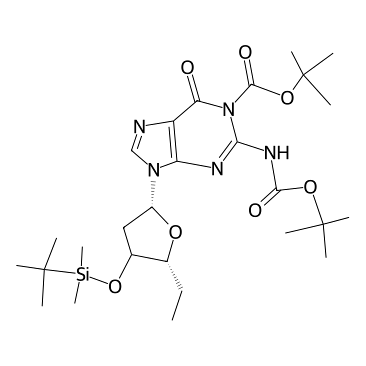 CC[C@H]1O[C@@H](n2cnc3c(=O)n(C(=O)OC(C)(C)C)c(NC(=O)OC(C)(C)C)nc32)CC1O[Si](C)(C)C(C)(C)C